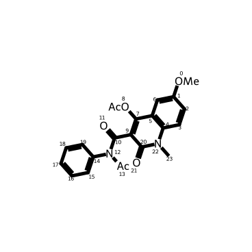 COc1ccc2c(c1)c(OC(C)=O)c(C(=O)N(C(C)=O)c1ccccc1)c(=O)n2C